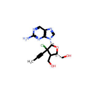 CC#CC1(Cl)C(CO)[C@@H](CO)O[C@H]1n1cnc2cnc(N)nc21